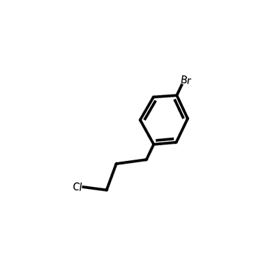 ClCCCc1ccc(Br)cc1